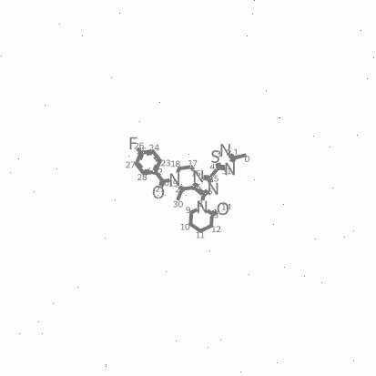 Cc1nsc(-c2nc(N3CCCCC3=O)c3n2CCN(C(=O)c2ccc(F)cc2)C3C)n1